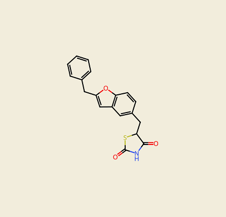 O=C1NC(=O)C(Cc2ccc3oc(Cc4ccccc4)cc3c2)S1